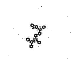 CC1(C)c2ccccc2-c2ccc(-c3nc(-c4ccccc4)cc(-c4cccc(-c5cccc(-c6nc(-c7ccccc7)nc(-c7cc(-c8ccccc8)cc(-c8ccccc8)c7)n6)c5)c4)n3)cc21